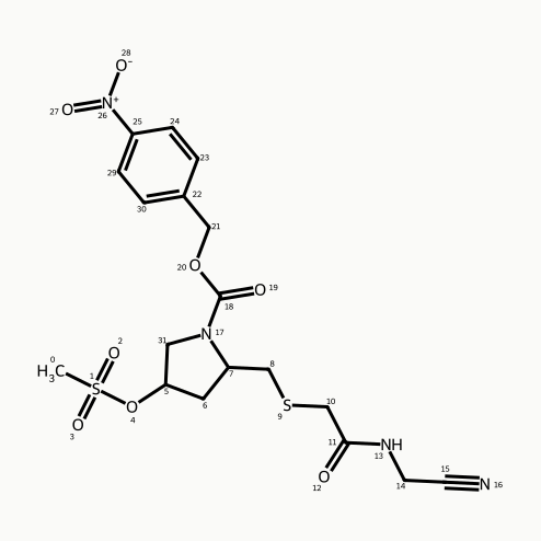 CS(=O)(=O)OC1CC(CSCC(=O)NCC#N)N(C(=O)OCc2ccc([N+](=O)[O-])cc2)C1